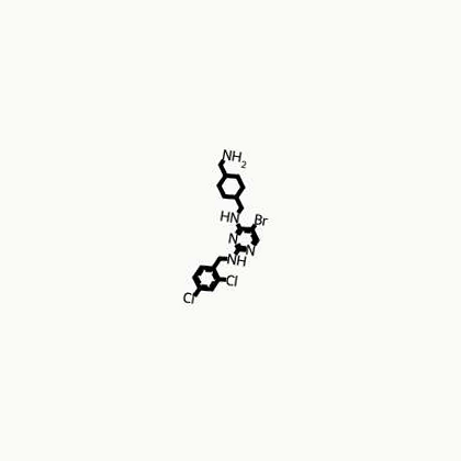 NCC1CCC(CNc2nc(NCc3ccc(Cl)cc3Cl)ncc2Br)CC1